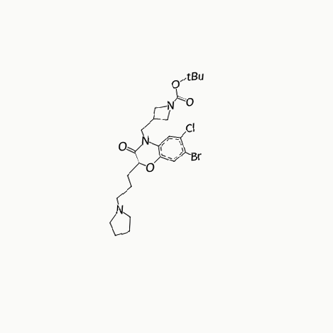 CC(C)(C)OC(=O)N1CC(CN2C(=O)C(CCCN3CCCC3)Oc3cc(Br)c(Cl)cc32)C1